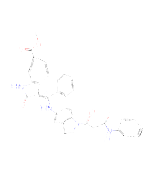 COC(=O)c1ccc2c(c1)NC(=O)/C2=C(\Nc1ccc2c(c1)CCN2C(=O)CC(=O)Nc1ccccc1)c1ccccc1